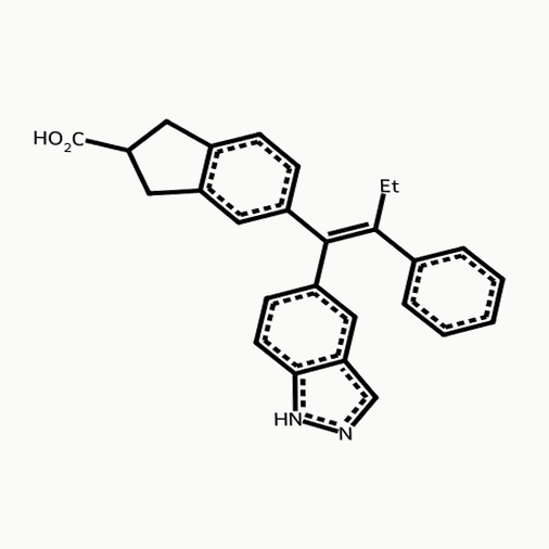 CC/C(=C(\c1ccc2c(c1)CC(C(=O)O)C2)c1ccc2[nH]ncc2c1)c1ccccc1